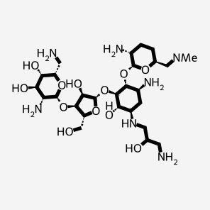 CNC[C@@H]1CC[C@@H](N)[C@@H](O[C@H]2[C@H](O[C@@H]3O[C@H](CO)[C@@H](O[C@H]4O[C@@H](CN)[C@@H](O)[C@H](O)[C@H]4N)[C@H]3O)[C@@H](O)[C@H](NCC(O)CN)C[C@@H]2N)O1